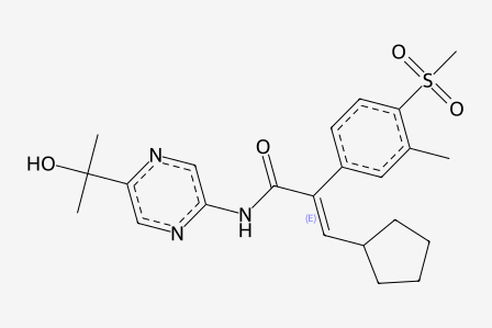 Cc1cc(/C(=C\C2CCCC2)C(=O)Nc2cnc(C(C)(C)O)cn2)ccc1S(C)(=O)=O